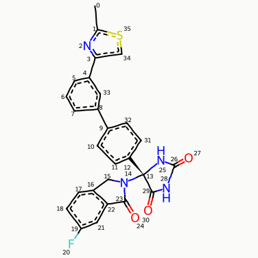 Cc1nc(-c2cccc(-c3ccc([C@@]4(N5Cc6ccc(F)cc6C5=O)NC(=O)NC4=O)cc3)c2)cs1